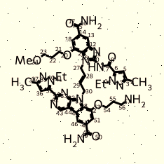 CCn1nc(C)cc1C(=O)Nc1nc2cc(C(N)=O)cc(OCCCOC)c2n1CC=CCn1c2nc(-c3cc(C)nn3CC)ncc2c2cc(C(N)=O)cc(OCCCN)c21